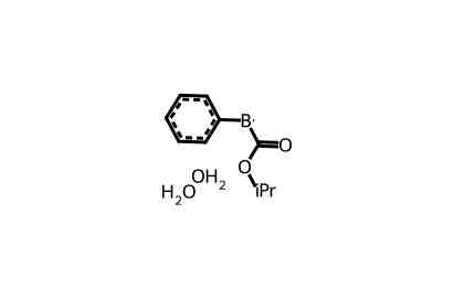 CC(C)OC(=O)[B]c1ccccc1.O.O